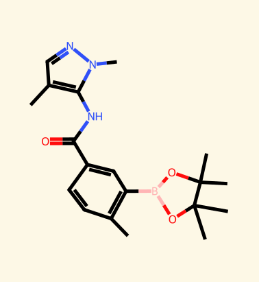 Cc1ccc(C(=O)Nc2c(C)cnn2C)cc1B1OC(C)(C)C(C)(C)O1